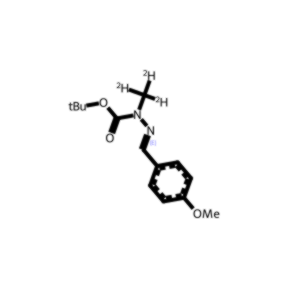 [2H]C([2H])([2H])N(/N=C/c1ccc(OC)cc1)C(=O)OC(C)(C)C